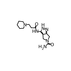 NC(=O)N1Cc2n[nH]c(NC(=O)CCN3CCCCC3)c2C1